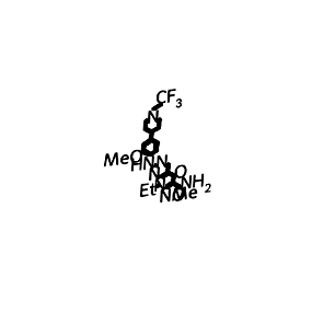 CCn1c(NC)c(C(N)=O)c(=O)c2cnc(Nc3ccc(C4CCN(CCC(F)(F)F)CC4)cc3OC)nc21